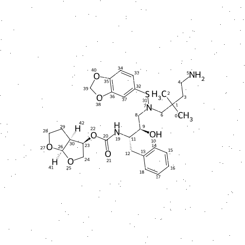 CC(C)(CCN)CN(C[C@@H](O)[C@H](Cc1ccccc1)NC(=O)O[C@H]1CO[C@H]2OCC[C@H]21)Sc1ccc2c(c1)OCO2